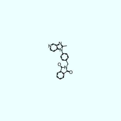 Cc1nc2cnccc2n1-c1ccc(CN2C(=O)c3ccccc3C2=O)cc1